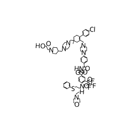 CC1(CN2CCN(CC3CCN(CC(=O)O)CC3)CC2)CCC(c2ccc(Cl)cc2)=C(CN2CCN(c3ccc(C(=O)NS(=O)(=O)c4ccc(N[C@H](CCN5CCOCC5)CSc5ccccc5)c(S(=O)(=O)C(F)(F)F)c4)cc3)CC2)C1